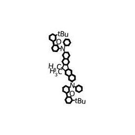 CC(C)(C)c1cccc2c1oc1c(N(c3ccccc3)c3ccc4cc5c(cc4c3)C(C)(C)c3cc4cc(N(c6ccccc6)c6cccc7c6oc6c(C(C)(C)C)cccc67)ccc4cc3-5)cccc12